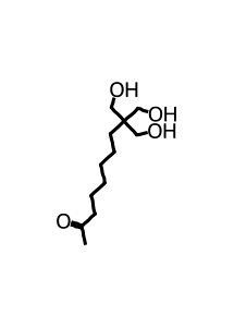 CC(=O)CCCCCCC(CO)(CO)CO